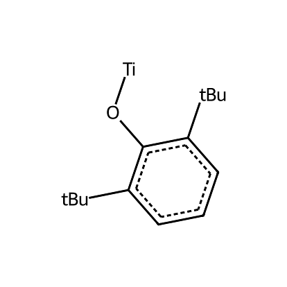 CC(C)(C)c1cccc(C(C)(C)C)c1[O][Ti]